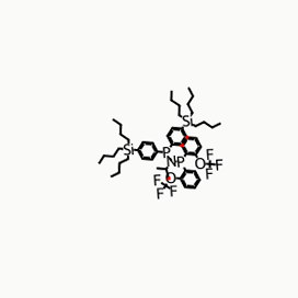 CCCC[Si](CCCC)(CCCC)c1ccc(P(c2ccc([Si](CCCC)(CCCC)CCCC)cc2)N(C(C)C)P(c2ccccc2OC(F)(F)F)c2ccccc2OC(F)(F)F)cc1